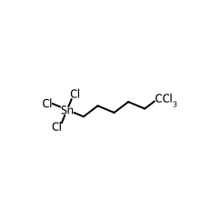 ClC(Cl)(Cl)CCCC[CH2][Sn]([Cl])([Cl])[Cl]